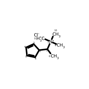 CC(C1C=CC=C1)[N+](C)(C)C.[Cl-]